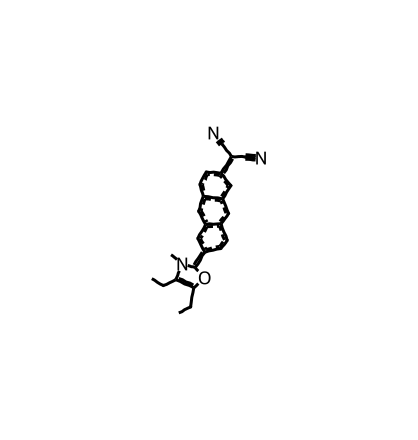 CCC1=C(CC)N(C)/C(=c2/ccc3cc4cc(=C(C#N)C#N)ccc4cc3c2)O1